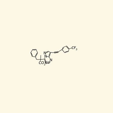 CCOC(=O)C(C)(Cc1ccccc1)c1ccnc2c(C#Cc3ccc(C(F)(F)F)cc3)cnn12